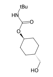 CC(C)(C)NC(=O)O[C@H]1CC[C@H](CO)CC1